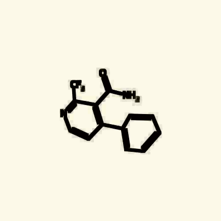 NC(=O)c1c(-c2ccccc2)ccnc1C(F)(F)F